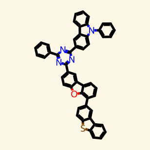 c1ccc(-c2nc(-c3ccc4oc5c(-c6ccc7sc8ccccc8c7c6)cccc5c4c3)nc(-c3ccc4c(c3)c3ccccc3n4-c3ccccc3)n2)cc1